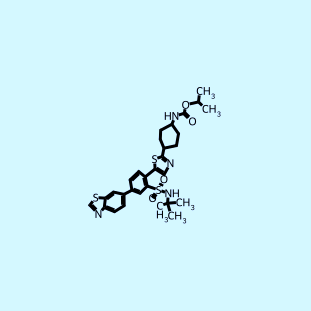 CC(C)OC(=O)NC1CCC(c2ncc(-c3ccc(-c4ccc5ncsc5c4)cc3S(=O)(=O)NC(C)(C)C)s2)CC1